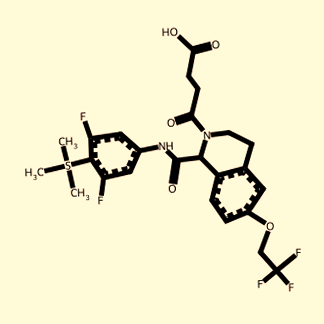 CS(C)(C)c1c(F)cc(NC(=O)C2c3ccc(OCC(F)(F)F)cc3CCN2C(=O)CCC(=O)O)cc1F